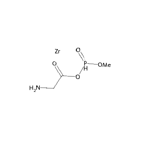 CO[PH](=O)OC(=O)CN.[Zr]